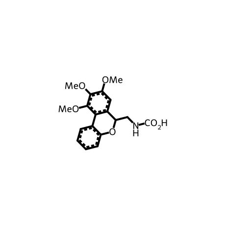 COc1cc2c(c(OC)c1OC)-c1ccccc1OC2CNC(=O)O